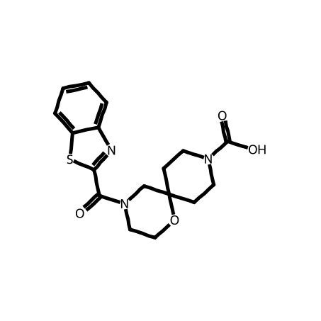 O=C(O)N1CCC2(CC1)CN(C(=O)c1nc3ccccc3s1)CCO2